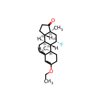 CCOC1=CC2=CC[C@@H]3[C@H]([C@@H](F)C[C@]4(C)C(=O)CC[C@@H]34)[C@@]2(C)CC1